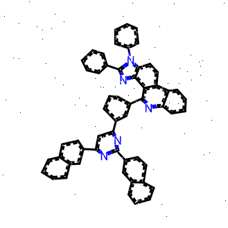 c1ccc(-c2nc3c4c(-c5cccc(-c6cc(-c7ccc8ccccc8c7)nc(-c7ccc8ccccc8c7)n6)c5)nc5ccccc5c4ccc3n2-c2ccccc2)cc1